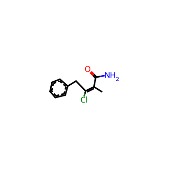 C/C(C(N)=O)=C(\Cl)Cc1ccccc1